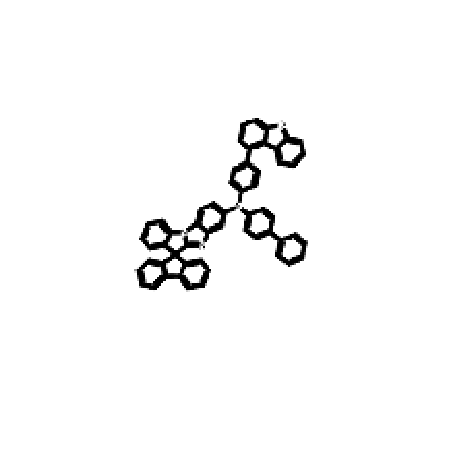 c1ccc(-c2ccc(N(c3ccc(-c4cccc5oc6ccccc6c45)cc3)c3ccc4c(c3)nc3n4-c4ccccc4C34c3ccccc3-c3ccccc34)cc2)cc1